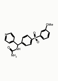 COc1cccc(S(=O)(=O)c2ccc(C(NC(N)=O)c3ccncc3)cc2)c1